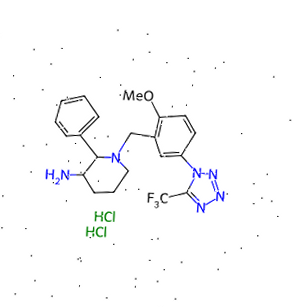 COc1ccc(-n2nnnc2C(F)(F)F)cc1CN1CCCC(N)C1c1ccccc1.Cl.Cl